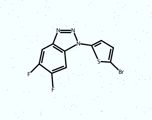 Fc1cc2nnn(-c3ccc(Br)s3)c2cc1F